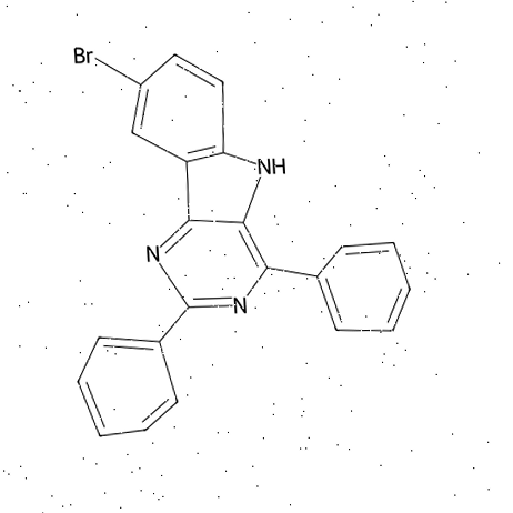 Brc1ccc2[nH]c3c(-c4ccccc4)nc(-c4ccccc4)nc3c2c1